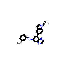 C=Cn1ccc2cc(-c3cc(NCc4cccc(C#N)c4)cc4nccnc34)ccc21